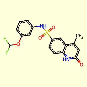 O=c1cc(C(F)(F)F)c2cc(S(=O)(=O)Nc3cccc(OC(F)F)c3)ccc2[nH]1